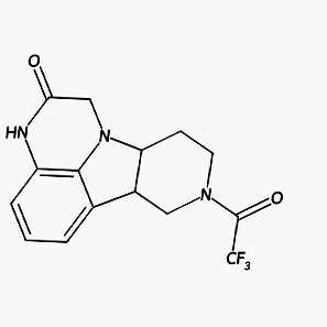 O=C1CN2c3c(cccc3C3CN(C(=O)C(F)(F)F)CCC32)N1